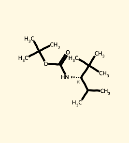 CC(C)[C@H](NC(=O)OC(C)(C)C)C(C)(C)C